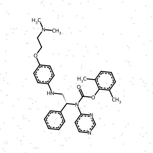 Cc1cccc(C)c1OC(=O)N(c1ccncn1)[C@@H](CNc1ccc(OCCN(C)C)cc1)c1ccccc1